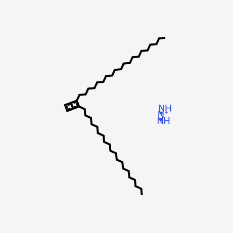 CCCCCCCCCCCCCCCCCCCCc1c2ccc-2c1CCCCCCCCCCCCCCCCCCCC.N=[N+]=N